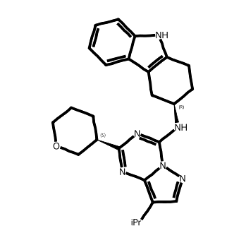 CC(C)c1cnn2c(N[C@@H]3CCc4[nH]c5ccccc5c4C3)nc([C@@H]3CCCOC3)nc12